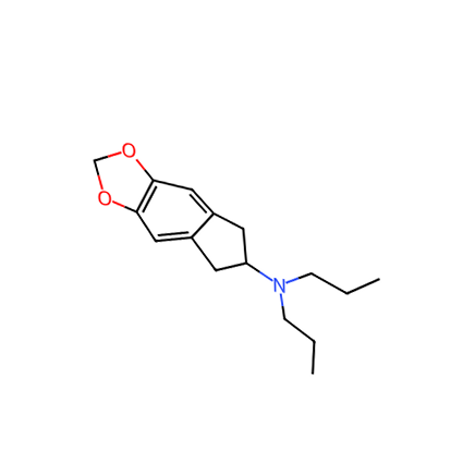 CCCN(CCC)C1Cc2cc3c(cc2C1)OCO3